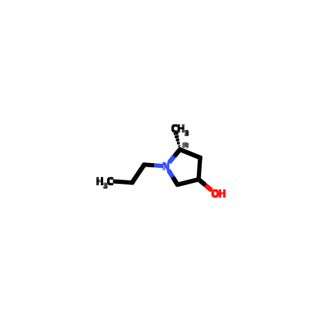 CCCN1CC(O)C[C@H]1C